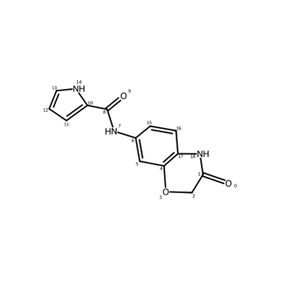 O=C1COc2cc(NC(=O)c3ccc[nH]3)ccc2N1